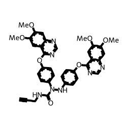 C#CCNC(=O)N(Nc1ccc(Oc2ncnc3cc(OC)c(OC)cc23)cc1)c1ccc(Oc2ncnc3cc(OC)c(OC)cc23)cc1